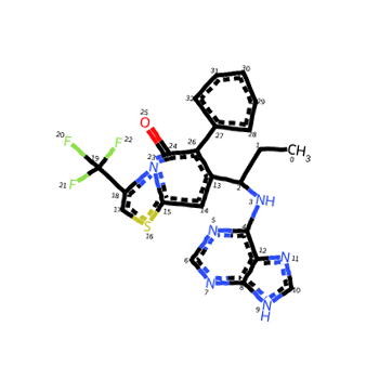 CCC(Nc1ncnc2[nH]cnc12)c1cc2scc(C(F)(F)F)n2c(=O)c1-c1ccccc1